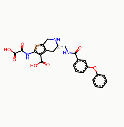 O=C(O)C(=O)Nc1sc2c(c1C(=O)O)C[C@@H](CNC(=O)c1cccc(Oc3ccccc3)c1)NC2